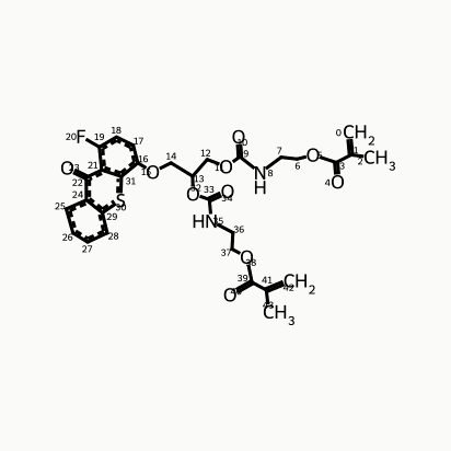 C=C(C)C(=O)OCCNC(=O)OCC(COc1ccc(F)c2c(=O)c3ccccc3sc12)OC(=O)NCCOC(=O)C(=C)C